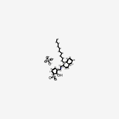 CCCCCCCCCC[n+]1c(/C=C/c2cccc([N+](=O)[O-])c2O)ccc2ccccc21.[O-][Cl+3]([O-])([O-])[O-]